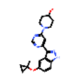 CC1(Oc2ccc3[nH]nc(-c4cc(N5CCC(O)CC5)ncn4)c3c2)CC1